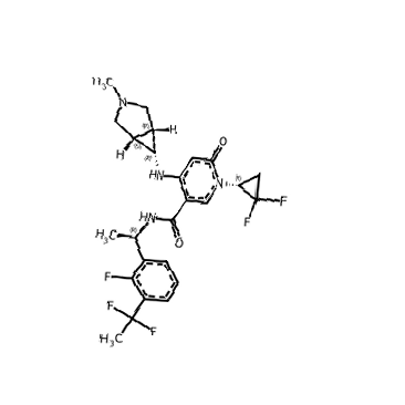 C[C@@H](NC(=O)c1cn([C@@H]2CC2(F)F)c(=O)cc1N[C@@H]1[C@@H]2CN(C)C[C@@H]21)c1cccc(C(C)(F)F)c1F